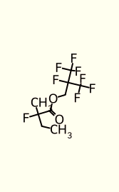 CCC(C)(F)C(=O)OCC(F)(C(F)(F)F)C(F)(F)F